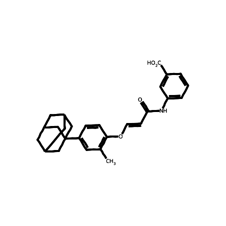 Cc1cc(C23CC4CC(CC(C4)C2)C3)ccc1OC=CC(=O)Nc1cccc(C(=O)O)c1